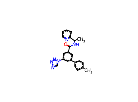 Cc1ccc(-c2cc(C(=O)NC(C)c3ccccn3)cc(-n3cnnn3)c2)cc1